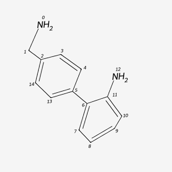 NCc1ccc(-c2ccccc2N)cc1